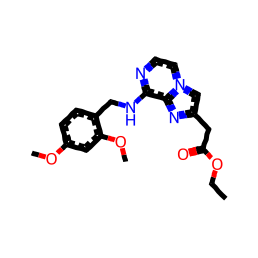 CCOC(=O)Cc1cn2ccnc(NCc3ccc(OC)cc3OC)c2n1